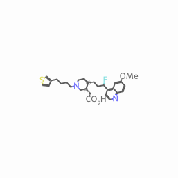 COc1ccc2nccc(C(F)CC[C@@H]3CCN(CCCCc4ccsc4)C[C@@H]3CC(=O)O)c2c1